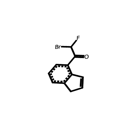 O=C(c1cccc2c1C=CC2)C(F)Br